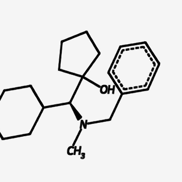 CN(Cc1ccccc1)[C@@H](C1CCCCC1)C1(O)CCCC1